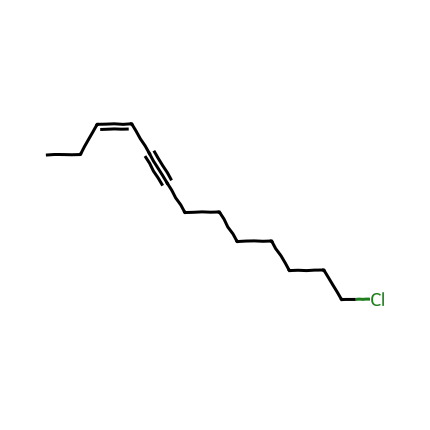 CC/C=C\C#CCCCCCCCCl